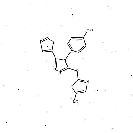 CC(C)(C)c1ccc(-n2c(Sc3ncc([N+](=O)[O-])s3)nnc2-c2cccs2)cc1